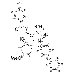 COc1ccc([C@@H]2[C@@H](CC[C@H](O)c3ccc(F)cc3)N(C)C(=O)N2c2ccc(-c3ccccc3)cc2)c(O)c1